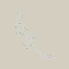 COCCCOc1ccnc(CC(C)(O)c2nc3cc(OC(F)F)ccc3[nH]2)c1C